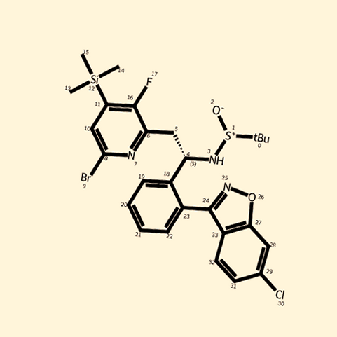 CC(C)(C)[S+]([O-])N[C@@H](Cc1nc(Br)cc([Si](C)(C)C)c1F)c1ccccc1-c1noc2cc(Cl)ccc12